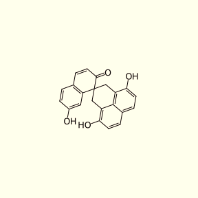 O=C1C=Cc2ccc(O)cc2C12Cc1c(O)ccc3ccc(O)c(c13)C2